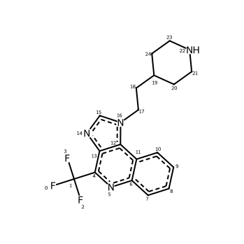 FC(F)(F)c1nc2ccccc2c2c1ncn2CCC1CCNCC1